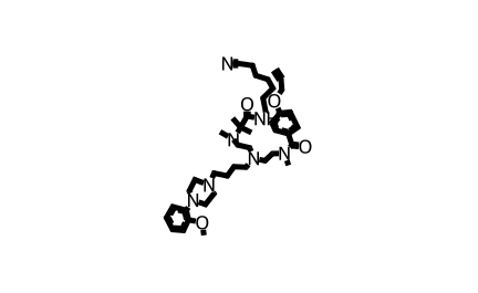 C#CCOc1ccc(C(=O)N(C)CCN(CCCCN2CCN(c3ccccc3OC)CC2)CCN(C)C(C)(C)C(=O)NCCCCCCC#N)cc1